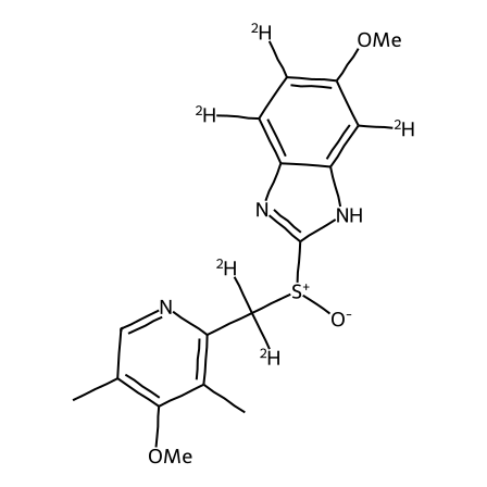 [2H]c1c(OC)c([2H])c2[nH]c([S+]([O-])C([2H])([2H])c3ncc(C)c(OC)c3C)nc2c1[2H]